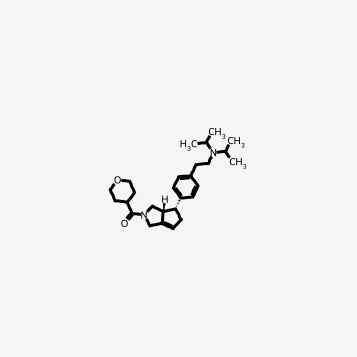 CC(C)N(CCc1ccc([C@@H]2CC=C3CN(C(=O)C4CCOCC4)C[C@@H]32)cc1)C(C)C